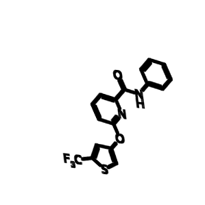 O=C(Nc1ccccc1)c1cccc(Oc2csc(C(F)(F)F)c2)n1